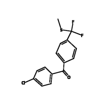 CSC(F)(F)c1ccc(C(=O)c2ccc(Cl)cc2)cc1